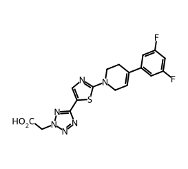 O=C(O)Cn1nnc(-c2cnc(N3CC=C(c4cc(F)cc(F)c4)CC3)s2)n1